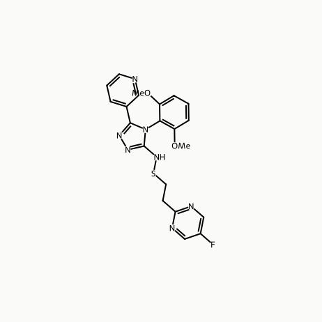 COc1cccc(OC)c1-n1c(NSCCc2ncc(F)cn2)nnc1-c1cccnc1